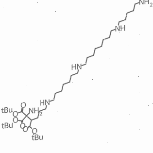 CC(C)(C)OC(=O)C(CCCNCCCCCCCNCCCCCCCCNCCCCCN)C(N)(C(=O)OC(C)(C)C)C(=O)OC(C)(C)C